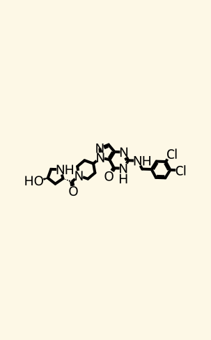 O=C([C@@H]1C[C@@H](O)CN1)N1CCC(n2ncc3nc(NCc4ccc(Cl)c(Cl)c4)[nH]c(=O)c32)CC1